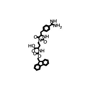 N=C(N)c1ccc(CC2NC(=O)N(CCC(NC(=O)OCC3c4ccccc4-c4ccccc43)C(=O)O)C2=O)cc1